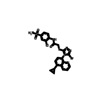 NS(=O)(=O)c1ccc(NC(=O)CSc2nnc(Br)n2-c2ccc(C3CC3)c3cccnc23)c(Cl)c1